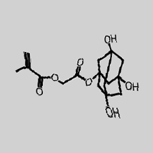 C=C(C)C(=O)OCC(=O)OC12CC3(O)CC(O)(CC(O)(C3)C1)C2